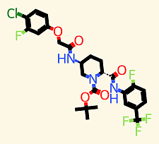 CC(C)(C)OC(=O)N1C[C@@H](NC(=O)COc2ccc(Cl)c(F)c2)CC[C@@H]1C(=O)Nc1cc(C(F)(F)F)ccc1F